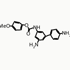 COc1ccc(OC(=O)Nc2cc(N)cc(-c3ccc(N)cc3)c2)cc1